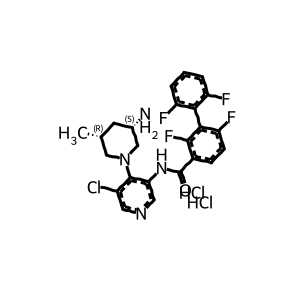 C[C@@H]1C[C@H](N)CN(c2c(Cl)cncc2NC(=O)c2ccc(F)c(-c3c(F)cccc3F)c2F)C1.Cl.Cl